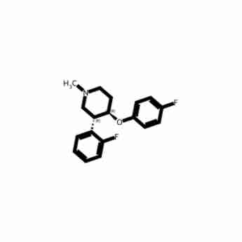 CN1CC[C@@H](Oc2ccc(F)cc2)[C@H](c2ccccc2F)C1